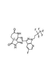 C[C@]12CCC(=O)Nc3nc(-c4nn(CCC(F)(F)C(F)(F)F)c5ncc(F)cc45)nc(c31)NC2=O